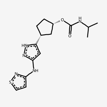 CC(C)NC(=O)O[C@H]1CC[C@@H](c2cc(Nc3ccsn3)n[nH]2)C1